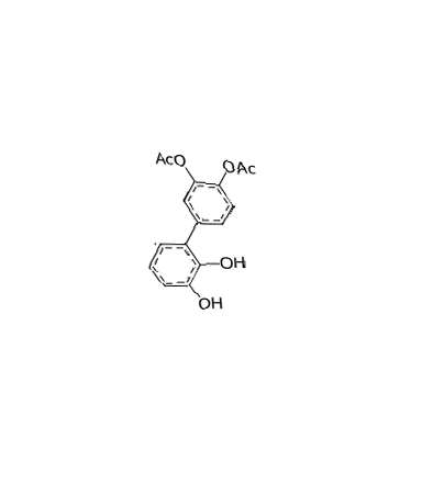 CC(=O)Oc1ccc(-c2[c]ccc(O)c2O)cc1OC(C)=O